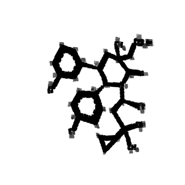 CC[C@@H](CC(C)(O)C1CC1)N1C(=O)[C@@](C)(CC(=O)O)C[C@H](c2cccc(Cl)c2)[C@H]1c1ccc(Cl)cc1